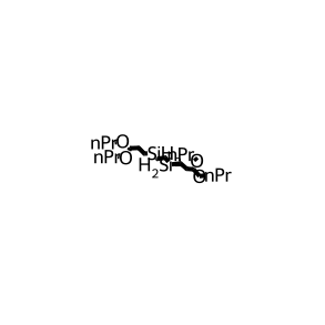 CCCOC(CC[SiH2]CC[SiH2]CCC(OCCC)OCCC)OCCC